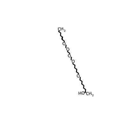 C=CCC/C=C/COCCOCCOCCOCCCCCCOCCCCCCCC(=C)O